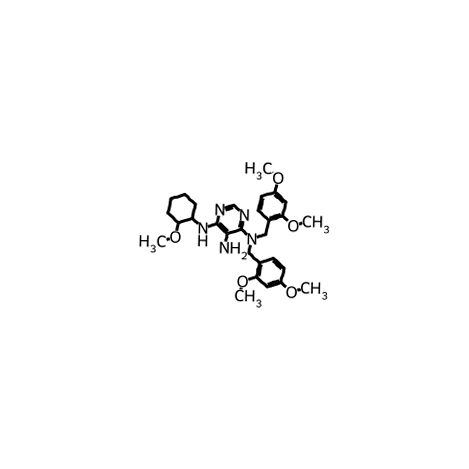 COc1ccc(CN(Cc2ccc(OC)cc2OC)c2ncnc(NC3CCCCC3OC)c2N)c(OC)c1